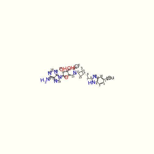 CC(C)(C)c1ccc2[nH]c(CC[C@H]3C[C@@H](N(CC4O[C@@H](n5cnc6c(N)ncnc65)[C@H](O)[C@@H]4O)CC(F)(F)F)C3)nc2c1